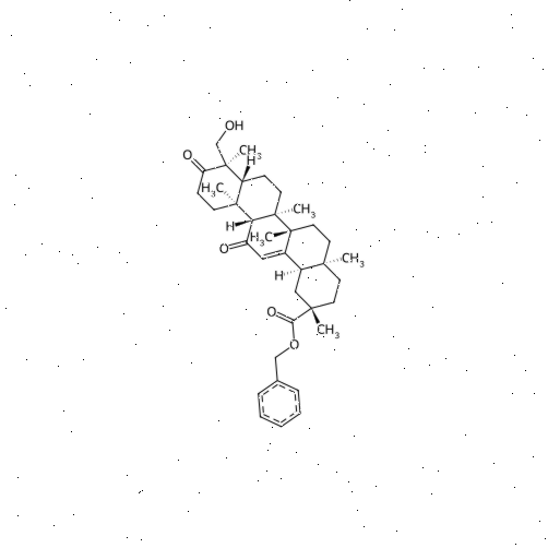 C[C@]1(C(=O)OCc2ccccc2)CC[C@]2(C)CC[C@]3(C)C(=CC(=O)[C@@H]4[C@@]5(C)CCC(=O)[C@@](C)(CO)[C@@H]5CC[C@]43C)[C@@H]2C1